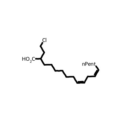 CCCCC/C=C\C/C=C\CCCCCCC(CCCl)C(=O)O